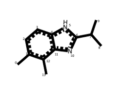 Cc1ccc2[nH]c(C(C)C)nc2c1C